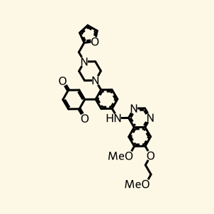 COCCOc1cc2ncnc(Nc3ccc(N4CCN(Cc5ccco5)CC4)c(C4=CC(=O)C=CC4=O)c3)c2cc1OC